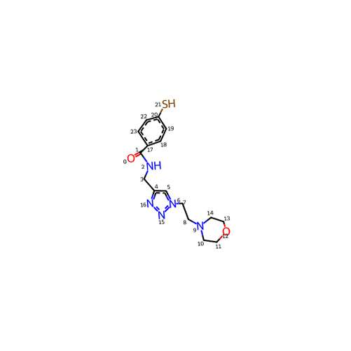 O=C(NCc1cn(CCN2CCOCC2)nn1)c1ccc(S)cc1